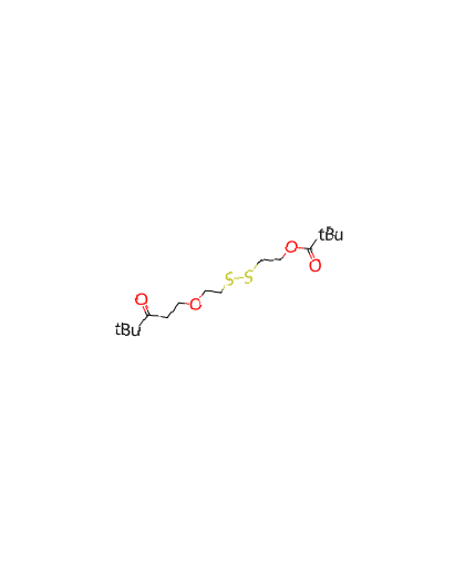 CC(C)(C)C(=O)CCOCCSSCCOC(=O)C(C)(C)C